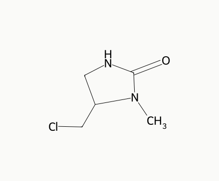 CN1C(=O)NCC1CCl